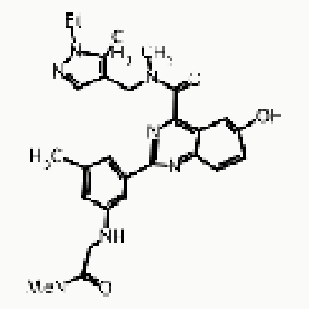 CCn1ncc(CN(C)C(=O)c2nc(-c3cc(C)cc(NCC(=O)NC)c3)nc3ccc(O)cc23)c1C